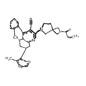 C=CC(=O)N1CC2(CCN(c3nc4c(c(-c5ccccc5C)c3C#N)CCC(c3scnc3C)C4)C2)C1